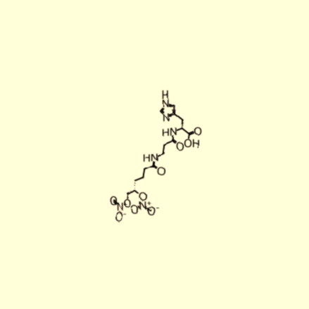 O=C(CCC[C@@H](CO[N+](=O)[O-])O[N+](=O)[O-])NCCC(=O)N[C@@H](Cc1c[nH]cn1)C(=O)O